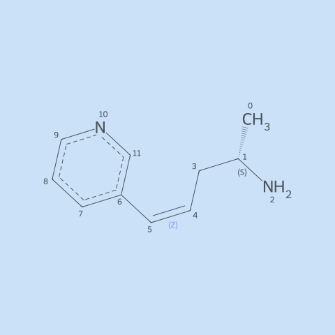 C[C@H](N)C/C=C\c1cccnc1